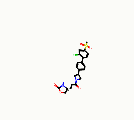 CS(=O)(=O)c1ccc(-c2ccc(C3CN(C(=O)CC[C@@H]4COC(=O)N4)C3)cc2)c(Cl)c1